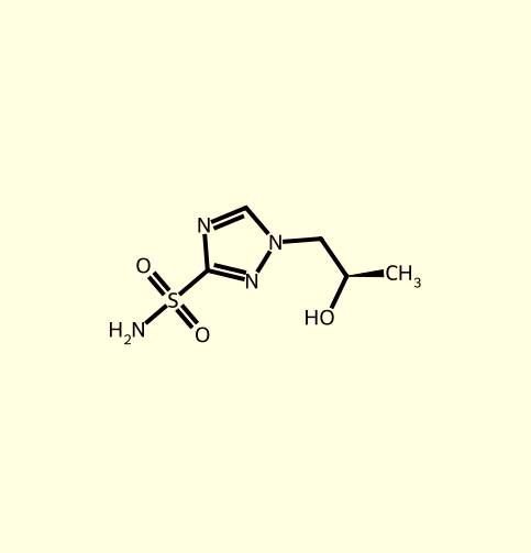 C[C@@H](O)Cn1cnc(S(N)(=O)=O)n1